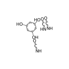 N=C=O.N=C=O.N=C=O.Oc1cc(O)cc(O)c1